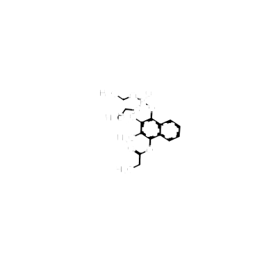 CCOP(=O)(OCC)Oc1c(C)c(C)c(OC(=O)CC)c2ccccc12